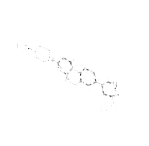 COc1cc(-c2ccc3c(c2)COc2nc(N4CCC(N)CC4)ccc2-3)cnn1